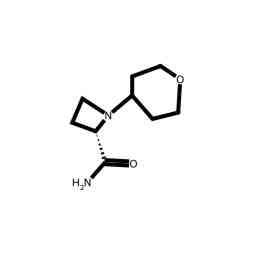 NC(=O)[C@@H]1CCN1C1CCOCC1